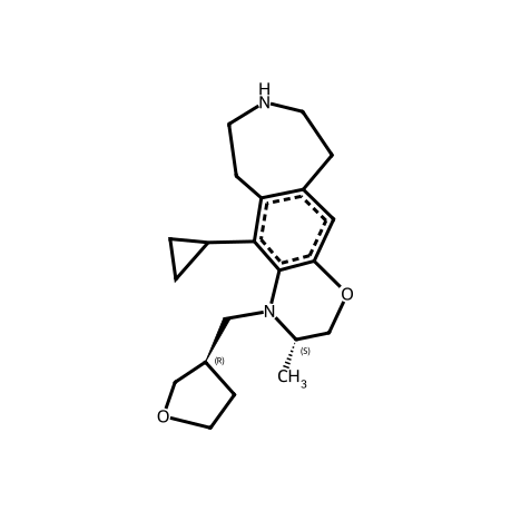 C[C@H]1COc2cc3c(c(C4CC4)c2N1C[C@H]1CCOC1)CCNCC3